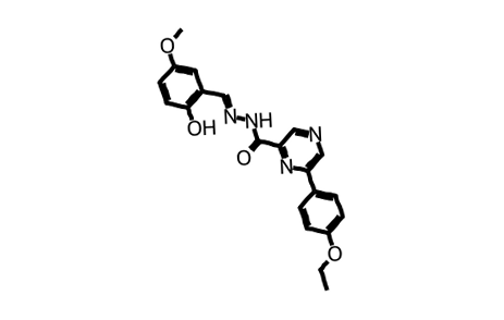 CCOc1ccc(-c2cncc(C(=O)N/N=C/c3cc(OC)ccc3O)n2)cc1